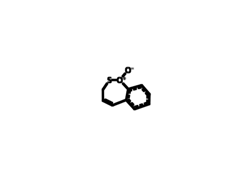 [O-][O+]1SCC=Cc2ccccc21